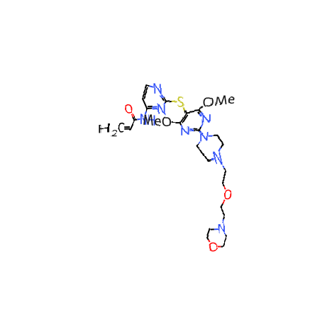 C=CC(=O)Nc1ccnc(Sc2c(OC)nc(N3CCN(CCOCCN4CCOCC4)CC3)nc2OC)n1